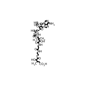 CC(CC(=O)O)C(O)C(=O)SCCNC(=O)CCNC(=O)C(O)C(C)(C)COP(=O)(O)OP(=O)(O)OC[C@H]1O[C@@H](n2cnc3c(N)ncnc32)[C@H](O)[C@@H]1OP(=O)(O)O